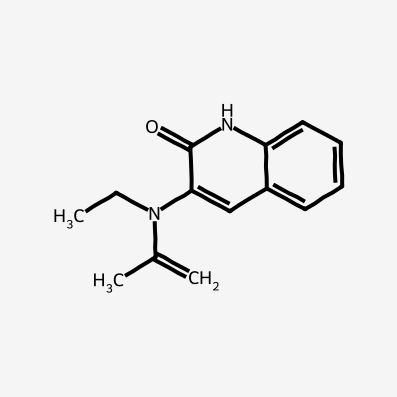 C=C(C)N(CC)c1cc2ccccc2[nH]c1=O